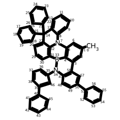 Cc1cc2c3c(c1)N1c4ccccc4C(c4ccccc4)(c4ccccc4)c4cccc(c41)B3N(c1cccc(-c3ccccc3)c1)c1ccc(-c3ccccc3)cc1-2